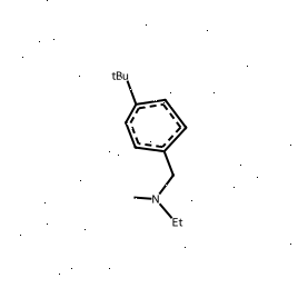 CCN(C)Cc1ccc(C(C)(C)C)cc1